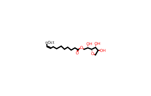 CCCCCCCC/C=C\CCCCCCCC(=O)OC[C@H](O)[C@H]1OCC(O)[C@H]1O